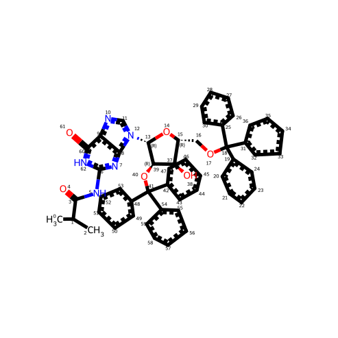 CC(C)C(=O)Nc1nc2c(ncn2[C@@H]2O[C@H](COC(c3ccccc3)(c3ccccc3)c3ccccc3)[C@@H](O)[C@H]2OC(c2ccccc2)(c2ccccc2)c2ccccc2)c(=O)[nH]1